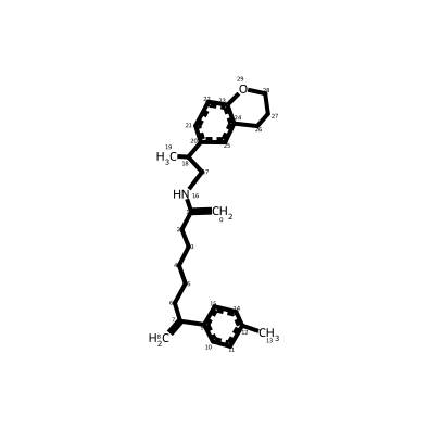 C=C(CCCCCC(=C)c1ccc(C)cc1)NCC(C)c1ccc2c(c1)CCCO2